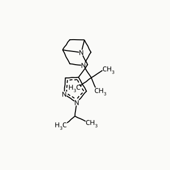 CC(C)n1cc(CN2C3CC2CN(C(C)(C)C)C3)cn1